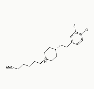 COCCCCC[Si@H]1CC[C@H](CCc2ccc(Cl)c(F)c2)CC1